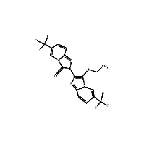 CCSc1c(-n2nc3ccc(C(F)(F)F)cn3c2=O)nc2ccc(C(F)(F)F)cn12